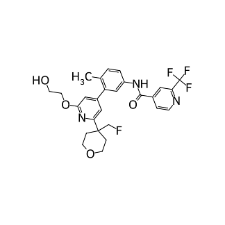 Cc1ccc(NC(=O)c2ccnc(C(F)(F)F)c2)cc1-c1cc(OCCO)nc(C2(CF)CCOCC2)c1